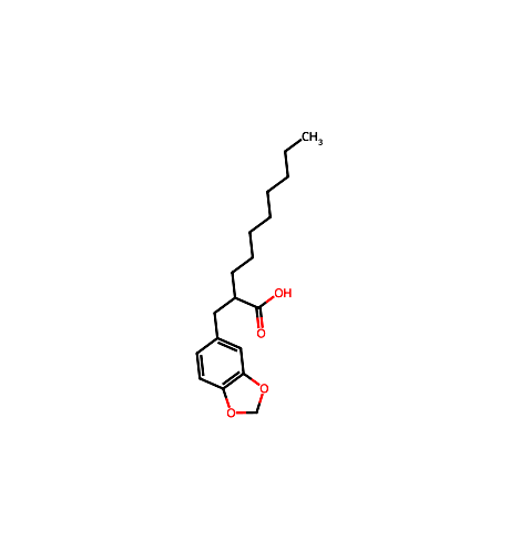 CCCCCCCCC(Cc1ccc2c(c1)OCO2)C(=O)O